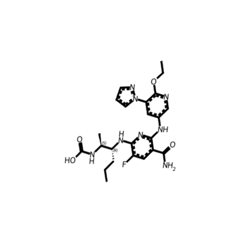 CCC[C@@H](Nc1nc(Nc2cnc(OCC)c(-n3cccn3)c2)c(C(N)=O)cc1F)[C@H](C)NC(=O)O